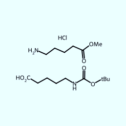 CC(C)(C)OC(=O)NCCCCC(=O)O.COC(=O)CCCCN.Cl